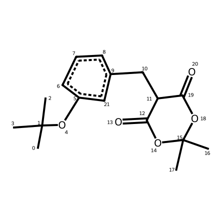 CC(C)(C)Oc1cccc(CC2C(=O)OC(C)(C)OC2=O)c1